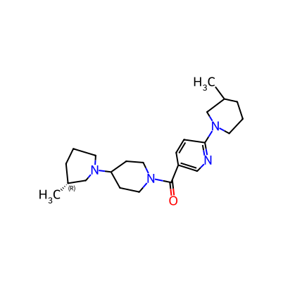 CC1CCCN(c2ccc(C(=O)N3CCC(N4CCC[C@@H](C)C4)CC3)cn2)C1